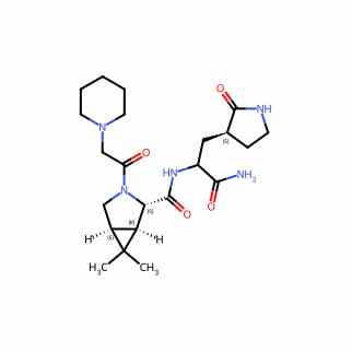 CC1(C)[C@@H]2[C@@H](C(=O)NC(C[C@@H]3CCNC3=O)C(N)=O)N(C(=O)CN3CCCCC3)C[C@@H]21